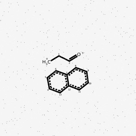 CCC=O.c1ccc2ccccc2c1